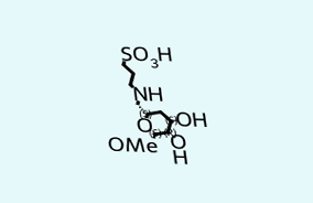 CO[C@H]1O[C@H](CNCCCS(=O)(=O)O)C[C@H](O)[C@H]1O